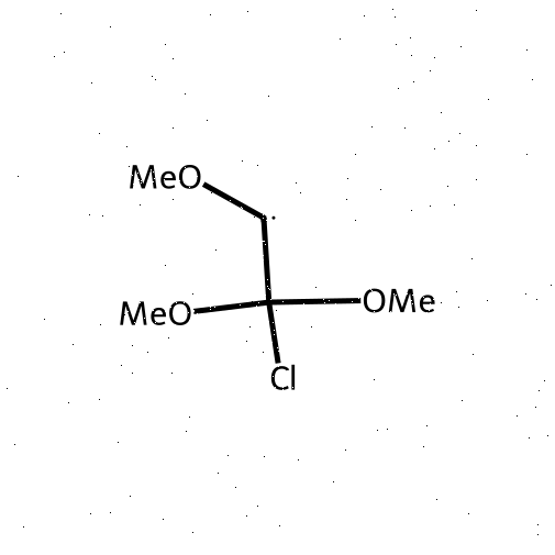 CO[CH]C(Cl)(OC)OC